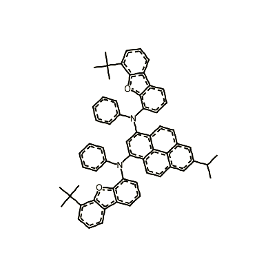 CC(C)c1cc2ccc3c(N(c4ccccc4)c4cccc5c4oc4c(C(C)(C)C)cccc45)cc(N(c4ccccc4)c4cccc5c4oc4c(C(C)(C)C)cccc45)c4ccc(c1)c2c34